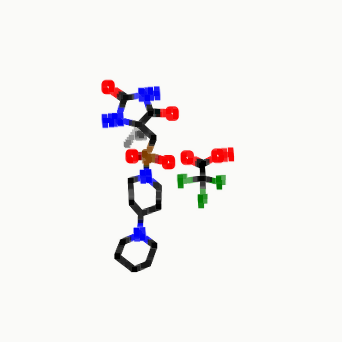 C[C@]1(CS(=O)(=O)N2CCC(N3CCCCC3)CC2)NC(=O)NC1=O.O=C(O)C(F)(F)F